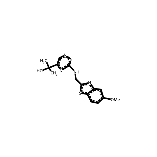 COc1ccc2sc(CNc3nncc(C(C)(C)O)n3)nc2c1